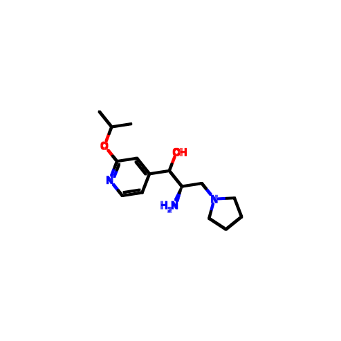 CC(C)Oc1cc(C(O)[C@H](N)CN2CCCC2)ccn1